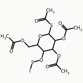 CC(=O)OCC1OC(SC(C)=O)C(OC(C)=O)C(OC(C)=O)C1OSI